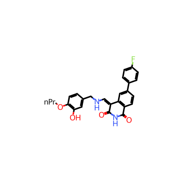 CCCOc1ccc(CN/C=C2\C(=O)NC(=O)c3ccc(-c4ccc(F)cc4)cc32)cc1O